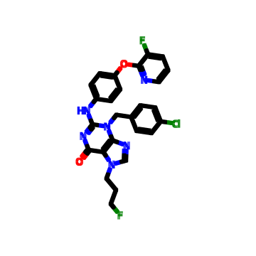 O=c1nc(Nc2ccc(Oc3ncccc3F)cc2)n(Cc2ccc(Cl)cc2)c2ncn(CCCF)c12